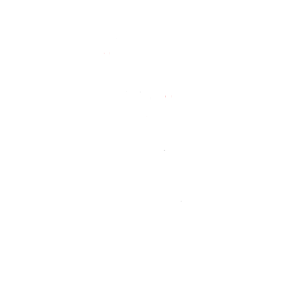 C=CC(=O)OCCCCCCOC(=O)c1ccc(OC)cc1